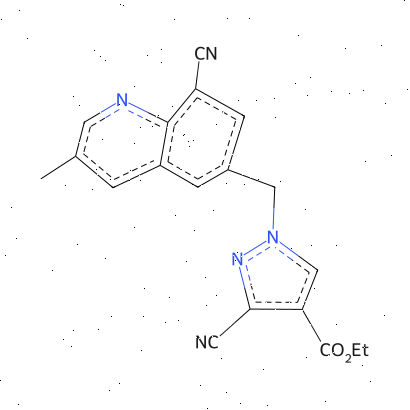 CCOC(=O)c1cn(Cc2cc(C#N)c3ncc(C)cc3c2)nc1C#N